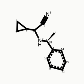 C[C@H](NC(C#N)C1CC1)c1ccccc1